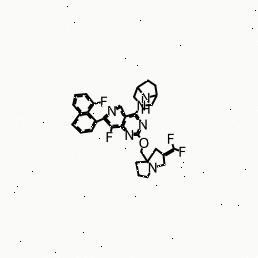 FC(F)=C1CN2CCCC2(COc2nc(N3CC4CCC(C3)N4)c3cnc(-c4cccc5cccc(F)c45)c(F)c3n2)C1